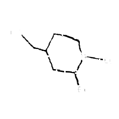 CCC1CC(CO)CCN1CC